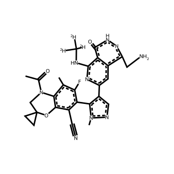 [2H]C([2H])([2H])Nc1nc(-c2cnn(C)c2-c2c(F)c(C)c3c(c2C#N)OC2(CC2)CN3C(C)=O)cc2c(CN)n[nH]c(=O)c12